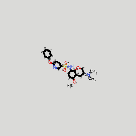 COc1ccc(NS(=O)(=O)c2ccc(Oc3ccccc3)nc2)c2c1C[C@@H](N(C)C)CO2